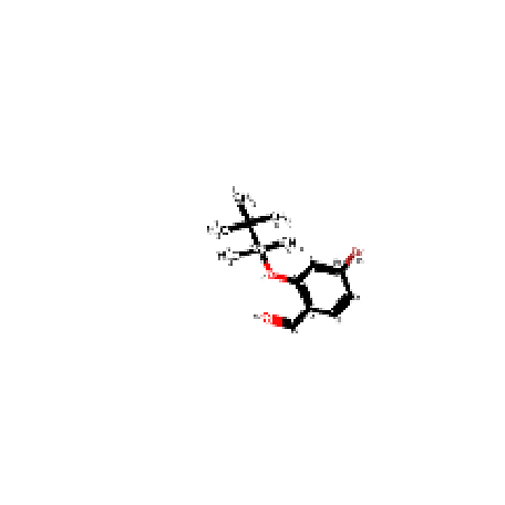 CC(C)(C)[Si](C)(C)Oc1cc(Br)ccc1C=O